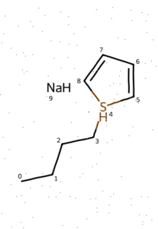 CCCC[SH]1C=CC=C1.[NaH]